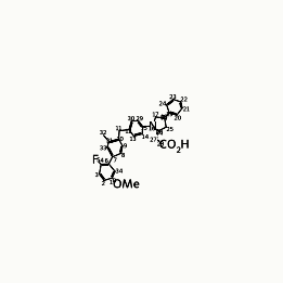 COc1ccc(F)c(-c2ccc(Cc3ccc(N4C[C@@H](c5ccccc5)C[C@@H]4CC(=O)O)cc3)c(C)c2)c1